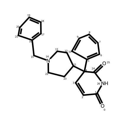 O=C1C=CC(c2ccccc2)(C2CCN(Cc3ccccc3)CC2)C(=O)N1